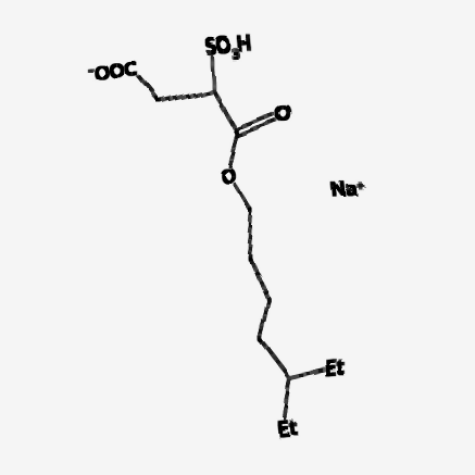 CCC(CC)CCCCOC(=O)C(CC(=O)[O-])S(=O)(=O)O.[Na+]